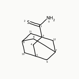 NC(=S)C12CC3CC(CC(C3)C1)C2